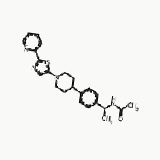 CC(=O)N[C@@H](C)c1ccc(C2CCN(c3cnc(-c4ccccn4)s3)CC2)cc1